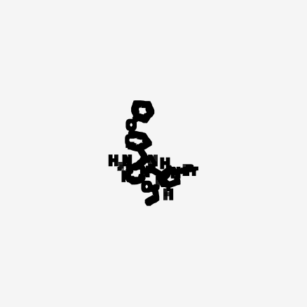 C=CC(=O)N1C(c2nc(-c3ccc(Oc4ccccc4)cc3)c3c(N)nccn23)[C@@H]2C[C@H]1CN2C(C)C